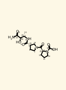 C[C@H](NC(=O)[C@H]1CCN(C(=O)[C@@H]2CCCN2C(=O)O)C1)[C@@H](O)C(N)=O